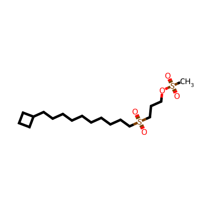 CS(=O)(=O)OCCCS(=O)(=O)CCCCCCCCCCC1CCC1